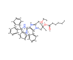 CCCCCC(=O)OC(C)(C)Cn1c(COCC)nc2c(NC(c3ccccc3)(c3ccccc3)c3ccccc3)nc3ccccc3c21